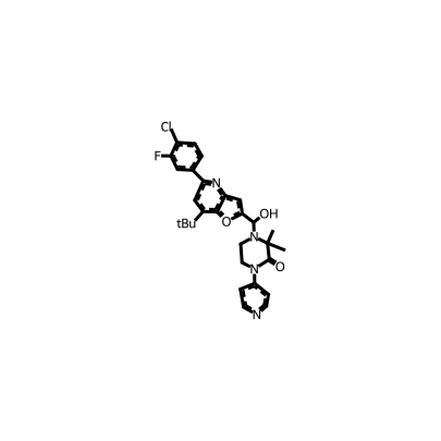 CC(C)(C)c1cc(-c2ccc(Cl)c(F)c2)nc2cc(C(O)N3CCN(c4ccncc4)C(=O)C3(C)C)oc12